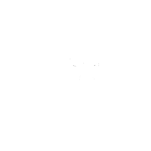 Cc1ccc(OC[C@H]2O[C@@H](S)[C@H](OCc3ccccc3)[C@H]2OCc2ccccc2)cc1